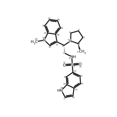 C[C@@H]1CCCN1[C@H](CNS(=O)(=O)c1ccc2cc[nH]c2c1)c1cn(C)c2ccccc12